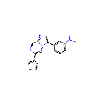 CN(C)c1cccc(-c2cnc3cnc(-c4ccsc4)cn23)c1